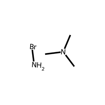 CN(C)C.NBr